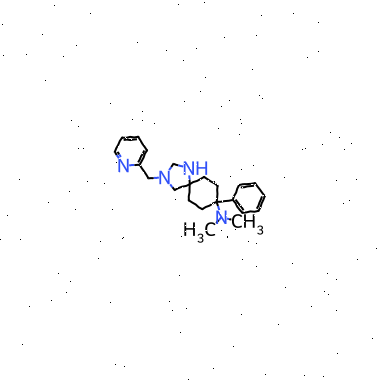 CN(C)C1(c2ccccc2)CCC2(CC1)CN(Cc1ccccn1)CN2